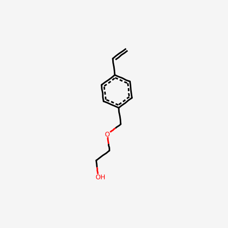 C=Cc1ccc(COCCO)cc1